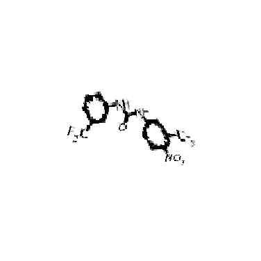 O=C(Nc1cccc(C(F)(F)F)c1)Nc1ccc([N+](=O)[O-])c(C(F)(F)F)c1